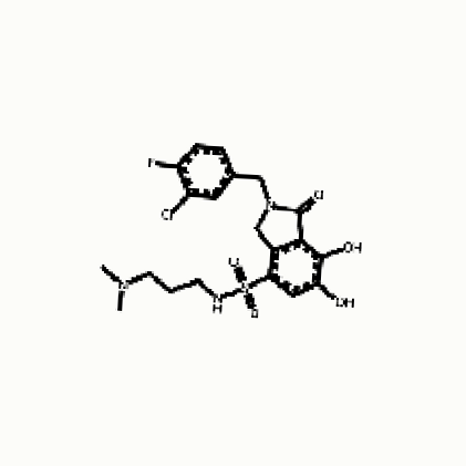 CN(C)CCCNS(=O)(=O)c1cc(O)c(O)c2c1CN(Cc1ccc(F)c(Cl)c1)C2=O